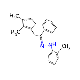 CC1=CCC(CC(=NNc2ccccc2C)c2ccccc2)=C1C